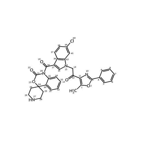 Cc1oc(-c2ccccc2)nc1C(=O)Cn1cc(C(=O)N2C(=O)OC3(CCNCC3)c3ccccc32)c2ccc(Cl)cc21